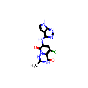 Cc1nn2c(=O)c(Nc3ncnc4[nH]ccc34)cc(Cl)c2c(=O)[nH]1